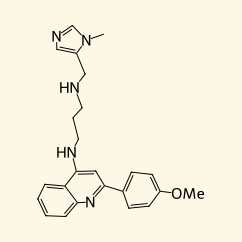 COc1ccc(-c2cc(NCCCNCc3cncn3C)c3ccccc3n2)cc1